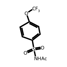 CC(=O)NS(=O)(=O)c1ccc(OC(F)(F)F)cc1